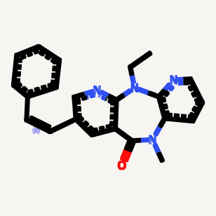 CCN1c2ncc(/C=C\c3ccccc3)cc2C(=O)N(C)c2cccnc21